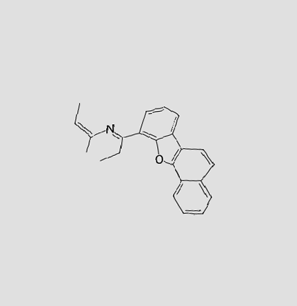 C/C=C(C)\N=C(/CC)c1cccc2c1oc1c3ccccc3ccc21